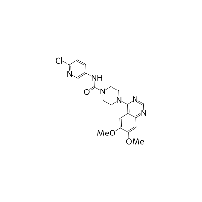 COc1cc2ncnc(N3CCN(C(=O)Nc4ccc(Cl)nc4)CC3)c2cc1OC